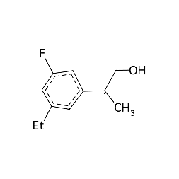 CCc1cc(F)cc([C](C)CO)c1